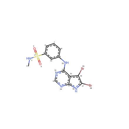 CNS(=O)(=O)c1cccc(Nc2ncnc3[nH]c(Br)c(Br)c23)c1